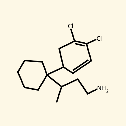 CC(CCN)C1(C2C=CC(Cl)=C(Cl)C2)CCCCC1